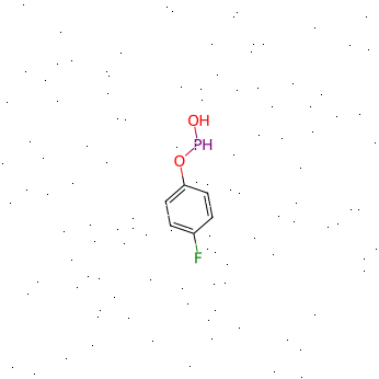 OPOc1ccc(F)cc1